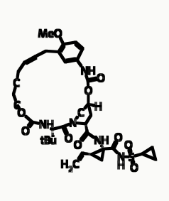 C=C[C@@H]1C[C@]1(NC(=O)[C@@H]1C[C@@H]2CN1C(=O)[C@H](C(C)(C)C)NC(=O)OCCCC/C=C\Cc1cc(ccc1OC)NC(=O)O2)C(=O)NS(=O)(=O)C1CC1